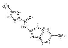 COc1ccc2nc(NC(=O)c3ccc([N+](=O)[O-])s3)sc2c1